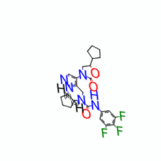 O=C1OC(C2CCCC2)CN1c1cnn2c1CN(C(=O)Nc1cc(F)c(F)c(F)c1)[C@H]1CCC[C@H]12